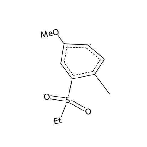 CCS(=O)(=O)c1cc(OC)[c]cc1C